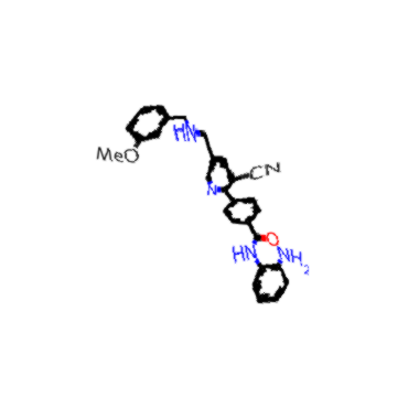 COc1cccc(CNCc2cnc(-c3ccc(C(=O)Nc4ccccc4N)cc3)c(C#N)c2)c1